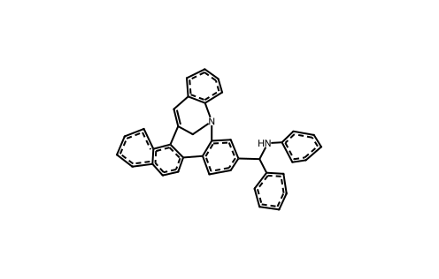 C1=C2CN(c3ccccc31)c1cc(C(Nc3ccccc3)c3ccccc3)ccc1-c1ccc3ccccc3c12